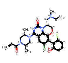 C=CC(=O)N1C[C@H](C)N(c2nc(=O)n3c4c(c(-c5c(O)cccc5F)c(Cl)cc24)OC[C@H]3CN(C)CC(F)(F)F)C[C@H]1C